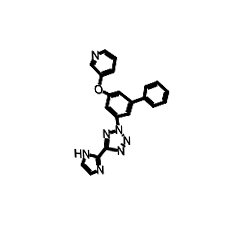 c1ccc(-c2cc(Oc3cccnc3)cc(-n3nnc(-c4ncc[nH]4)n3)c2)cc1